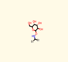 CCC(CC)NOC1OC(CO)[C@H](O)[C@H](O)C1O